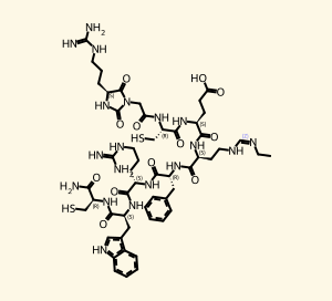 CC/N=C\NCC[C@H](NC(=O)[C@H](CCC(=O)O)NC(=O)[C@H](CS)NC(=O)CN1C(=O)N[C@@H](CCCNC(=N)N)C1=O)C(=O)N[C@H](Cc1ccccc1)C(=O)N[C@@H](CCCNC(=N)N)C(=O)N[C@@H](Cc1c[nH]c2ccccc12)C(=O)N[C@@H](CS)C(N)=O